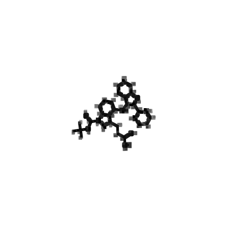 CC(C)(C)OC(=O)n1nc(CCC(=O)O)c2c(Nc3c(-c4ncccn4)oc4cnccc34)cccc21